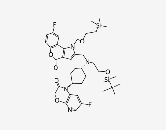 CC(C)(C)[Si](C)(C)OCCN(Cc1cc2c(=O)oc3ccc(F)cc3c2n1COCC[Si](C)(C)C)[C@H]1CC[C@H](N2C(=O)COc3ncc(F)cc32)CC1